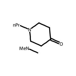 CCCN1CCC(=O)CC1.CNC